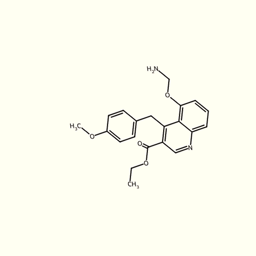 CCOC(=O)c1cnc2cccc(OCN)c2c1Cc1ccc(OC)cc1